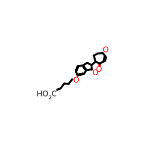 O=C(O)CCCCCOc1ccc2c(c1)C(=O)C(C1CCC(=O)C#CC1=O)C2